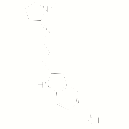 COc1ccc2[nH]c(SCC/N=C3\CCCN3C)cc2c1